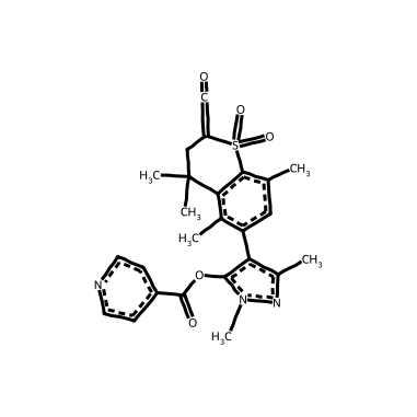 Cc1cc(-c2c(C)nn(C)c2OC(=O)c2ccncc2)c(C)c2c1S(=O)(=O)C(=C=O)CC2(C)C